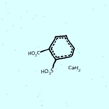 O=C(O)c1ccccc1S(=O)(=O)O.[CaH2]